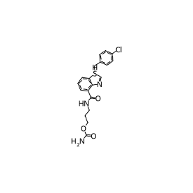 NC(=O)OCCCNC(=O)c1cccc2c1N=C[SH]2Cc1ccc(Cl)cc1